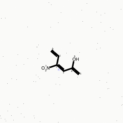 C=C/C(=C\C(=C)O)[N+](=O)[O-]